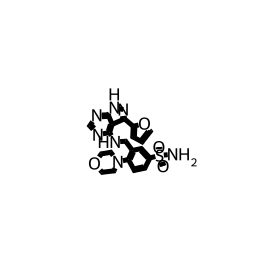 NS(=O)(=O)c1ccc(N2CCOCC2)c(CNc2ncnc3[nH]nc(-c4ccco4)c23)c1